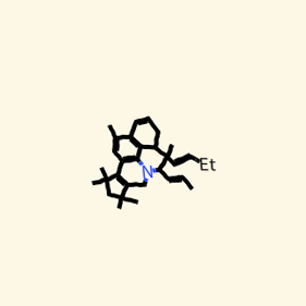 CC=CC1N2CC3=C(c4cc(C)c5c(c42)C(CC=C5)C1(C)C=CCC)C(C)(C)CC3(C)C